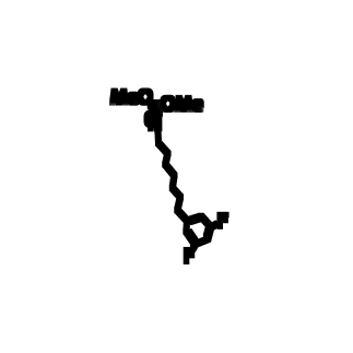 CO[SiH](OC)OCCCCCCCCc1cc(F)cc(F)c1